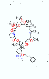 CCC1/C=C(\C)CC(C)CC(OC)C2OC(O)(C(=O)C(=O)N3CCCCC3C(=O)OC(C(C)=CC3CCC(N)C(OCCCc4ccccc4)C3)C(C)C(O)CC1=O)C(C)CC2OC